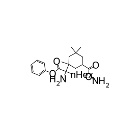 CCCCCCC(N)(C(=O)Oc1ccccc1)C1(C)CC(C(=O)ON)CC(C)(C)C1